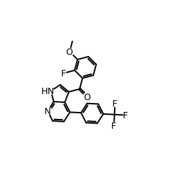 COc1cccc(C(=O)c2c[nH]c3nccc(-c4ccc(C(F)(F)F)cc4)c23)c1F